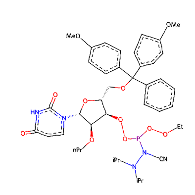 CCCO[C@@H]1[C@H](OOP(OOCC)N(C#N)N(C(C)C)C(C)C)[C@@H](COC(c2ccccc2)(c2ccc(OC)cc2)c2ccc(OC)cc2)O[C@H]1n1ccc(=O)[nH]c1=O